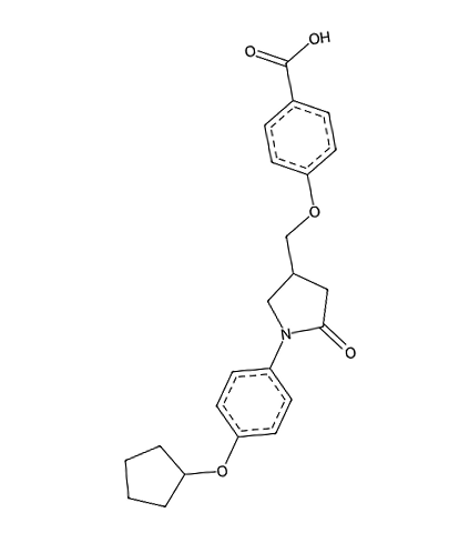 O=C(O)c1ccc(OCC2CC(=O)N(c3ccc(OC4CCCC4)cc3)C2)cc1